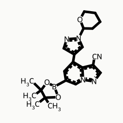 CC1(C)OB(c2cc(-c3cnn(C4CCCCO4)c3)c3c(C#N)cnn3c2)OC1(C)C